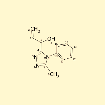 C=CC(O)c1nnc(C)n1-c1ccccc1